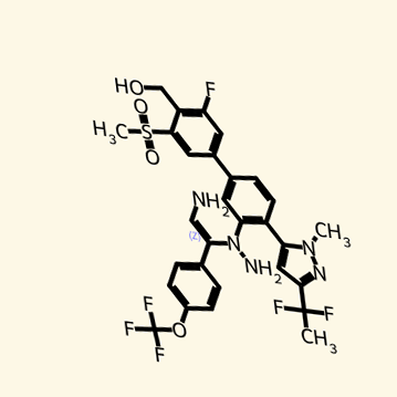 Cn1nc(C(C)(F)F)cc1-c1ccc(-c2cc(F)c(CO)c(S(C)(=O)=O)c2)cc1N(N)/C(=C\N)c1ccc(OC(F)(F)F)cc1